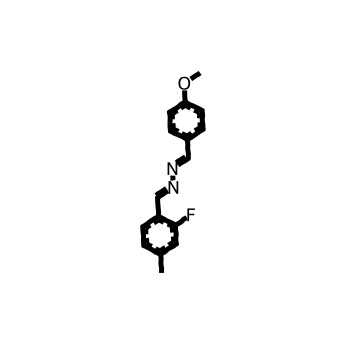 COc1ccc(/C=N/N=C/c2ccc(C)cc2F)cc1